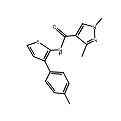 Cc1ccc(-c2ccsc2NC(=O)c2cn(C)nc2C)cc1